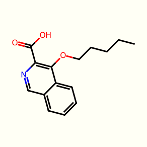 CCCCCOc1c(C(=O)O)ncc2ccccc12